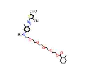 CCN(CCOCCOCCOCCOCCOC(=O)C1CCCCC1C)c1ccc(/N=N/c2sc(C=O)cc2C#N)c(C)c1